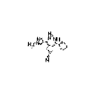 Cn1cc(/C(N)=C2\CN(C#N)C\C2=C(\N)c2ccccc2)cn1